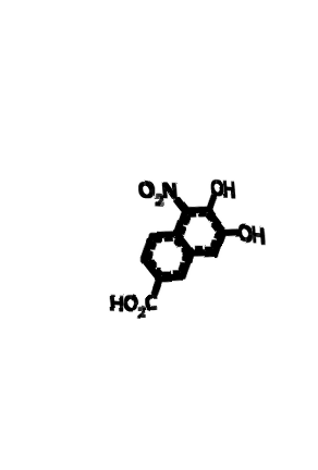 O=C(O)c1ccc2c([N+](=O)[O-])c(O)c(O)cc2c1